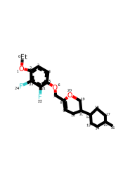 CCOc1ccc(OCC2=CCC(C3CCC(C)CC3)CO2)c(F)c1F